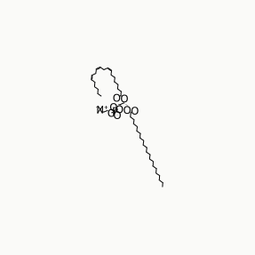 CCCCC/C=C\C/C=C\C/C=C\CCCCCCC(=O)O[C@H](COC(=O)CCCCCCCCCCCCCCCCCCCCC)COP(=O)([O-])OCC[N+](C)(C)C